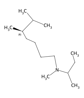 CCC(C)N(C)CCCC[C@@H](C)C(C)C